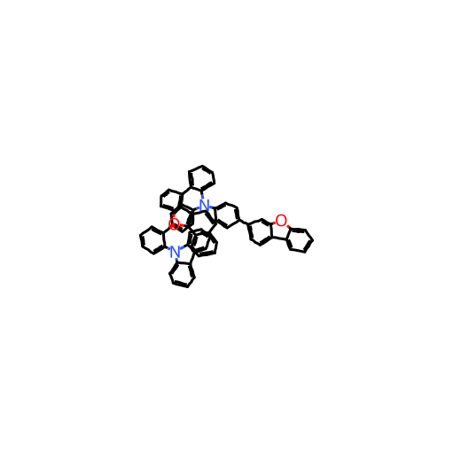 c1ccc(N(c2ccc(-c3ccc4c(c3)oc3ccccc34)cc2)c2ccc(-c3ccccc3-n3c4ccccc4c4ccccc43)cc2)c(-c2cccc3oc4c5ccccc5ccc4c23)c1